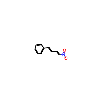 O=[N+]([O-])C=CC=Cc1ccccc1